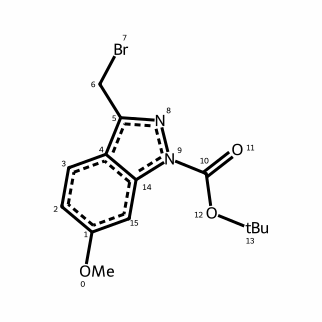 COc1ccc2c(CBr)nn(C(=O)OC(C)(C)C)c2c1